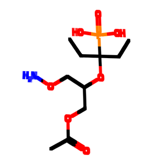 CCC(CC)(OC(CON)COC(C)=O)P(=O)(O)O